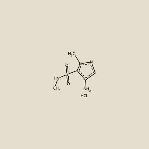 CNS(=O)(=O)c1c(N)cnn1C.Cl